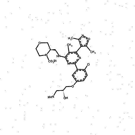 CCOC(=O)N1CCOC[C@H]1CNc1nc(-c2cc(OC[C@H](O)CNC)ccc2Cl)nc(-c2c(C)noc2C)c1C